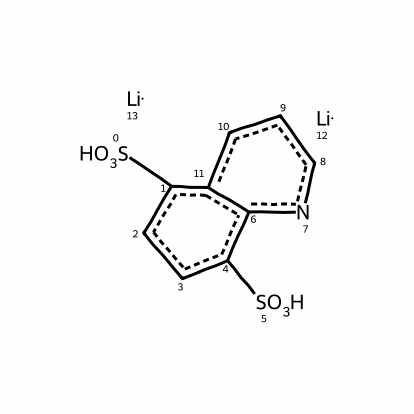 O=S(=O)(O)c1ccc(S(=O)(=O)O)c2ncccc12.[Li].[Li]